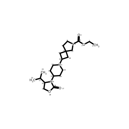 CCOC(=O)N1CCC2(CC(N3CCC(N4C(=O)OCC4C(C)C)CC3)C2)C1